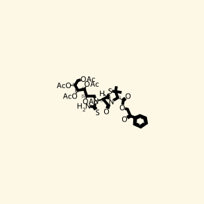 CC(=O)OC[C@@H](OC(C)=O)[C@@H](OC(C)=O)[C@H](OC(C)=O)[C@H](CN(C(N)=S)[C@@H]1C(=O)N2[C@@H]1SC(C)(C)[C@@H]2C(=O)OCC(=O)c1ccccc1)OC(C)=O